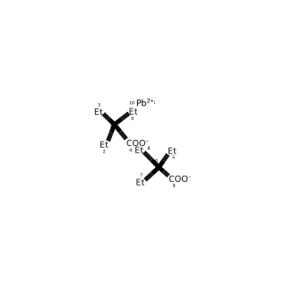 CCC(CC)(CC)C(=O)[O-].CCC(CC)(CC)C(=O)[O-].[Pb+2]